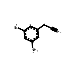 N#CCc1cc(N)cc(Br)c1